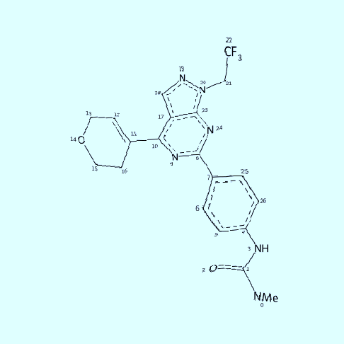 CNC(=O)Nc1ccc(-c2nc(C3=CCOCC3)c3cnn(CC(F)(F)F)c3n2)cc1